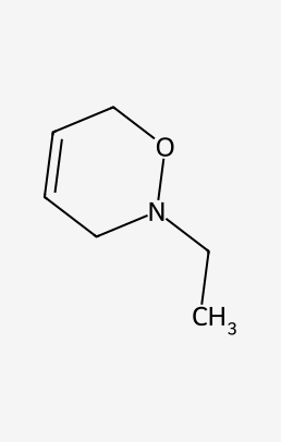 CCN1CC=CCO1